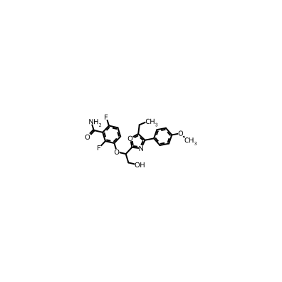 CCc1oc(C(CO)Oc2ccc(F)c(C(N)=O)c2F)nc1-c1ccc(OC)cc1